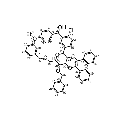 CCOc1ccc(C(O)c2cc(C3O[C@H](COCc4ccccc4)[C@@H](OCc4ccccc4)C(OCc4ccccc4)C3OCc3ccccc3)ccc2Cl)nn1